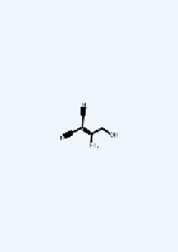 N#CC(C#N)=C(N)CO